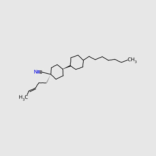 C/C=C/CC[C@]1(C#N)CC[C@@H](C2CCC(CCCCCCC)CC2)CC1